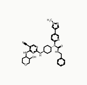 Cn1cc(-c2ccc(N(C(=O)NCc3ccccc3)[C@H]3CC[C@H](Nc4ncc(C#N)c(NC5CCOCC5O)n4)CC3)nc2)cn1